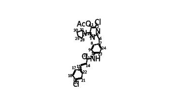 CC(=O)Oc1c(Cl)nc(Cc2ccc(NC(=O)/C=C/c3ccc(Cl)cc3)cc2)nc1N1CCCC1